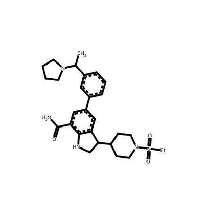 CCS(=O)(=O)N1CCC(C2CNc3c(C(N)=O)cc(-c4cccc(C(C)N5CCCC5)c4)cc32)CC1